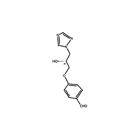 O=Cc1ccc(OC[C@H](O)Cn2cncn2)cc1